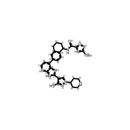 CC(C)(C)c1noc(C(=O)NC2CCCc3cc(-c4ccnc5[nH]c(-c6cn(C7CCOCC7)nc6S)nc45)ccc32)n1